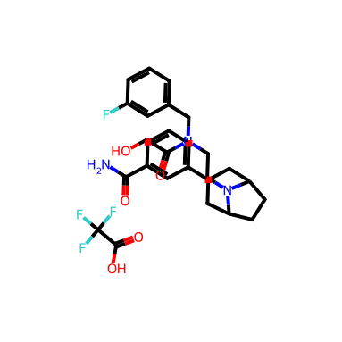 NC(=O)c1cccc(C2CC3CCC(C2)N3CCN(Cc2cccc(F)c2)C(=O)CO)c1.O=C(O)C(F)(F)F